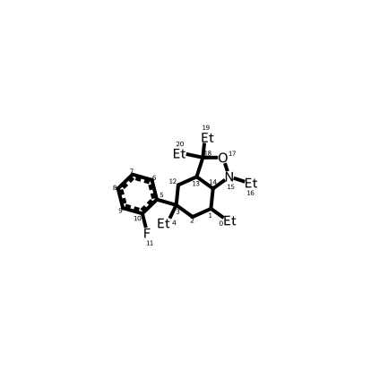 CCC1CC(CC)(c2ccccc2F)CC2C1N(CC)OC2(CC)CC